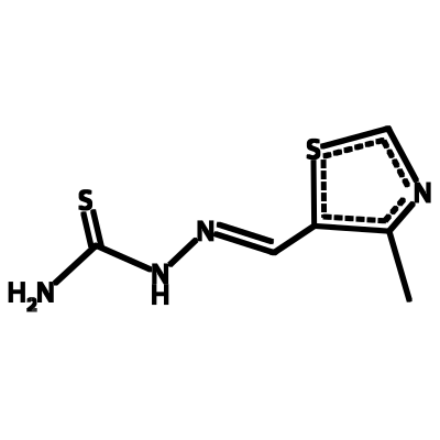 Cc1ncsc1/C=N/NC(N)=S